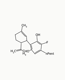 C=C(C)C1CCC(C)=CC1c1c(O)cc(CCCCC)c(F)c1O